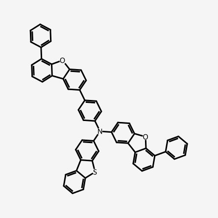 c1ccc(-c2cccc3c2oc2ccc(-c4ccc(N(c5ccc6c(c5)sc5ccccc56)c5ccc6oc7c(-c8ccccc8)cccc7c6c5)cc4)cc23)cc1